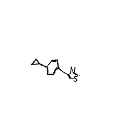 [c]1nc(-c2ccc(C3CC3)cc2)cs1